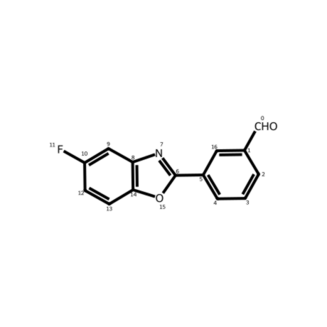 O=Cc1cccc(-c2nc3cc(F)ccc3o2)c1